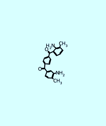 Cc1ccc(C(=O)c2ccc(C(=O)c3cccc(C)c3N)cc2)cc1N